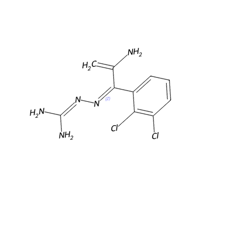 C=C(N)/C(=N\N=C(N)N)c1cccc(Cl)c1Cl